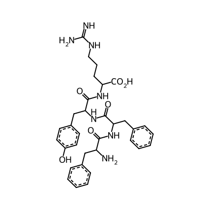 N=C(N)NCCCC(NC(=O)C(Cc1ccc(O)cc1)NC(=O)C(Cc1ccccc1)NC(=O)C(N)Cc1ccccc1)C(=O)O